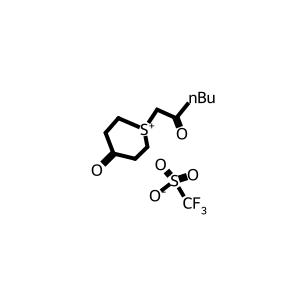 CCCCC(=O)C[S+]1CCC(=O)CC1.O=S(=O)([O-])C(F)(F)F